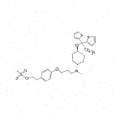 CN(CCCOc1ccc(CCOS(C)(=O)=O)cc1)[C@H]1CC[C@H](OC(C(=O)O)(c2cccs2)c2cccs2)CC1